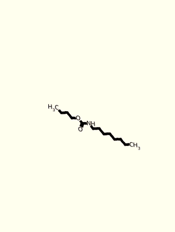 CCCCCCCCNC(=O)OCCCC